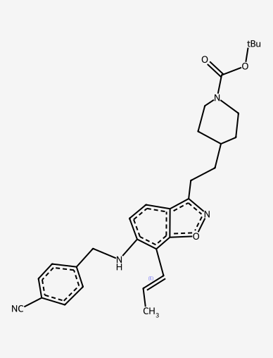 C/C=C/c1c(NCc2ccc(C#N)cc2)ccc2c(CCC3CCN(C(=O)OC(C)(C)C)CC3)noc12